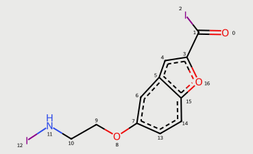 O=C(I)c1cc2cc(OCCNI)ccc2o1